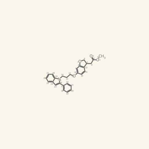 COC(=O)CC1COc2cc(OCCCn3c(-c4ccccc4)cc4ccccc43)ccc21